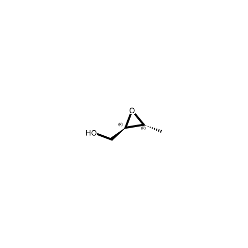 C[C@H]1O[C@@H]1CO